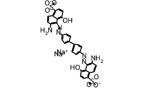 Nc1ccc2c(S(=O)(=O)[O-])ccc(O)c2c1N=Nc1ccc(-c2ccc(N=Nc3c(N)ccc4c(S(=O)(=O)[O-])ccc(O)c34)cc2)cc1.[Na+].[Na+]